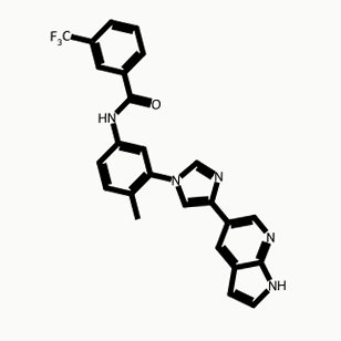 Cc1ccc(NC(=O)c2cccc(C(F)(F)F)c2)cc1-n1cnc(-c2cnc3[nH]ccc3c2)c1